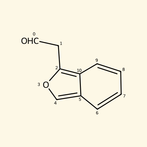 O=CCc1occ2ccccc12